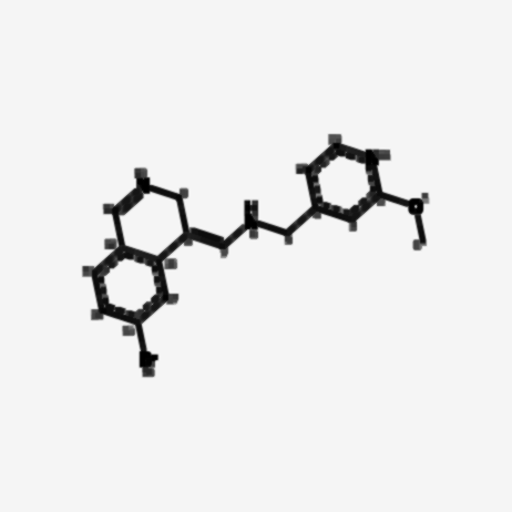 COc1cc(CNC=C2CN=Cc3ccc(Br)cc32)ccn1